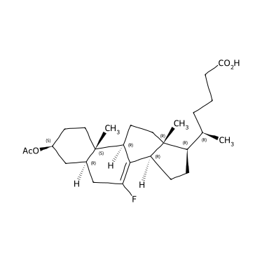 CC(=O)O[C@H]1CC[C@@]2(C)[C@@H](CC(F)=C3[C@@H]2CC[C@]2(C)[C@@H]([C@H](C)CCCC(=O)O)CC[C@@H]32)C1